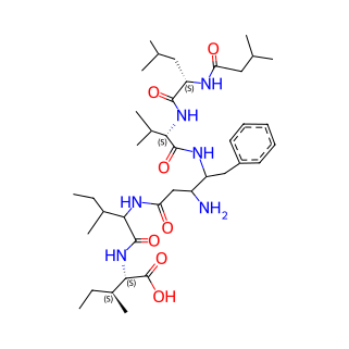 CCC(C)C(NC(=O)CC(N)C(Cc1ccccc1)NC(=O)[C@@H](NC(=O)[C@H](CC(C)C)NC(=O)CC(C)C)C(C)C)C(=O)N[C@H](C(=O)O)[C@@H](C)CC